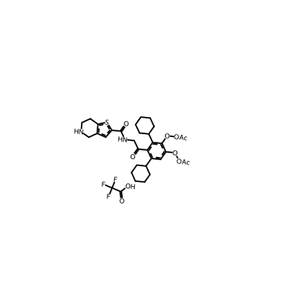 CC(=O)OOc1cc(C2CCCCC2)c(C(=O)CNC(=O)c2cc3c(s2)CCNC3)c(C2CCCCC2)c1OOC(C)=O.O=C(O)C(F)(F)F